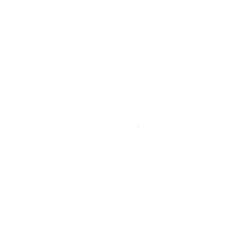 C=Cc1ccc(CCc2c(F)cc(C(=C)C3=C(C)CCCC3)cc2P)cc1